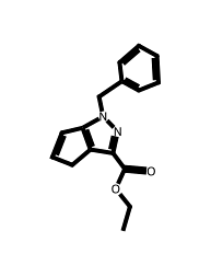 CCOC(=O)c1nn(Cc2ccccc2)c2c1CC=C2